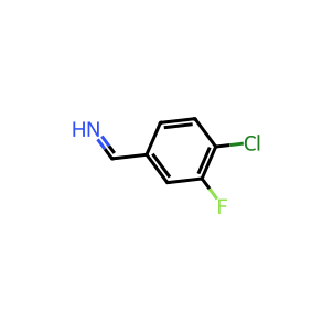 N=Cc1ccc(Cl)c(F)c1